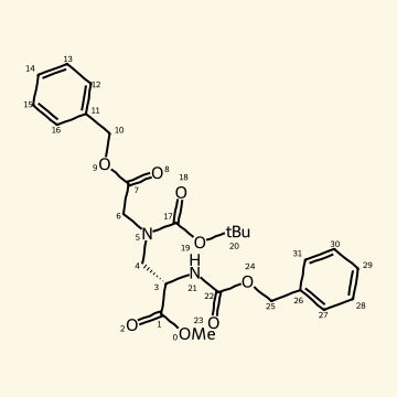 COC(=O)[C@H](CN(CC(=O)OCc1ccccc1)C(=O)OC(C)(C)C)NC(=O)OCc1ccccc1